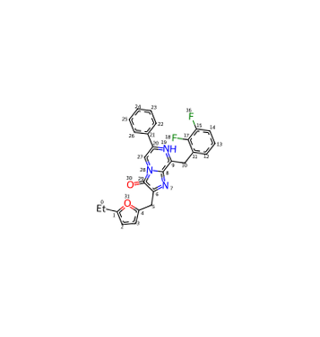 CCc1ccc(Cc2nc3c(Cc4cccc(F)c4F)[nH]c(-c4ccccc4)cn-3c2=O)o1